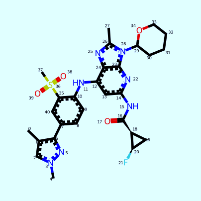 Cc1cn(C)nc1-c1ccc(Nc2cc(NC(=O)[C@H]3C[C@H]3F)nc3c2nc(C)n3C2CCCCO2)c(S(C)(=O)=O)c1